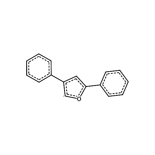 [c]1oc(-c2ccccc2)cc1-c1ccccc1